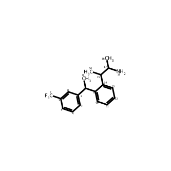 CC(c1cccc(C(F)(F)F)c1)c1ccccc1C(C)C(C)N